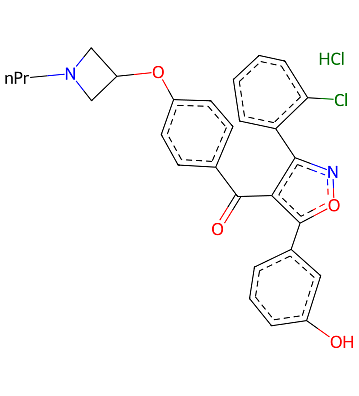 CCCN1CC(Oc2ccc(C(=O)c3c(-c4ccccc4Cl)noc3-c3cccc(O)c3)cc2)C1.Cl